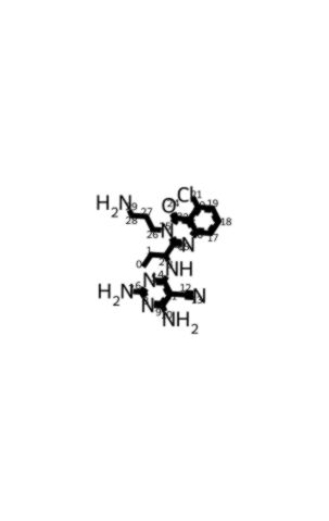 CCC(Nc1nc(N)nc(N)c1C#N)c1nc2cccc(Cl)c2c(=O)n1CCCN